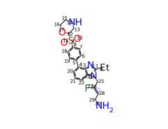 CCc1nc2c(-c3ccc(S(=O)(=O)C4CNCCO4)cc3)cccc2n1C/C(F)=C/CN